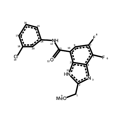 COCc1nc2c(F)c(F)cc(C(=O)Nc3cccc(Cl)c3)c2[nH]1